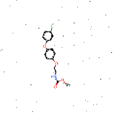 CC(C)OC(=O)NCCOc1ccc(Oc2ccc(Cl)cc2)cc1